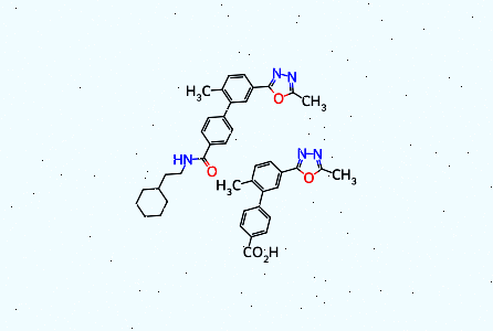 Cc1nnc(-c2ccc(C)c(-c3ccc(C(=O)NCCC4CCCCC4)cc3)c2)o1.Cc1nnc(-c2ccc(C)c(-c3ccc(C(=O)O)cc3)c2)o1